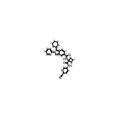 N#Cc1ccc(NC(=O)C2(NC(=O)c3ccc4c(C5CCCCC5)n(-c5ccccn5)nc4c3)CCC2)cn1